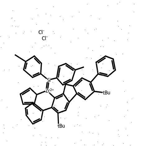 Cc1ccc([Si](c2ccc(C)cc2)=[Zr+2]([c]2c3c(cc(C(C)(C)C)c2-c2ccccc2)-c2cc(C(C)(C)C)c(-c4ccccc4)cc2C3)[CH]2C=CC=C2)cc1.[Cl-].[Cl-]